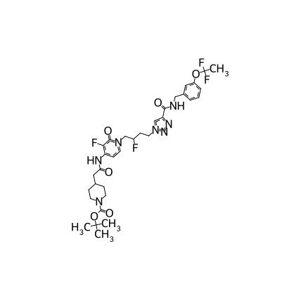 CC(C)(C)OC(=O)N1CCC(CC(=O)Nc2ccn(CC(F)CCn3cc(C(=O)NCc4cccc(OC(C)(F)F)c4)nn3)c(=O)c2F)CC1